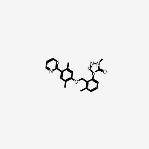 Cc1cc(-c2ncccn2)c(C)cc1OCc1c(C)cccc1-n1nnn(C)c1=O